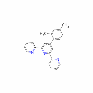 Cc1ccc(-c2cc(-c3ccccn3)nc(-c3ccccn3)c2)c(C)c1